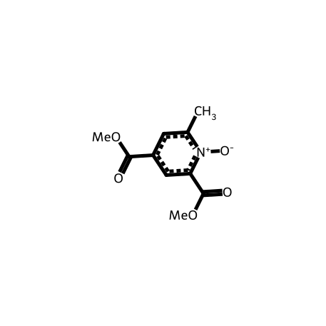 COC(=O)c1cc(C)[n+]([O-])c(C(=O)OC)c1